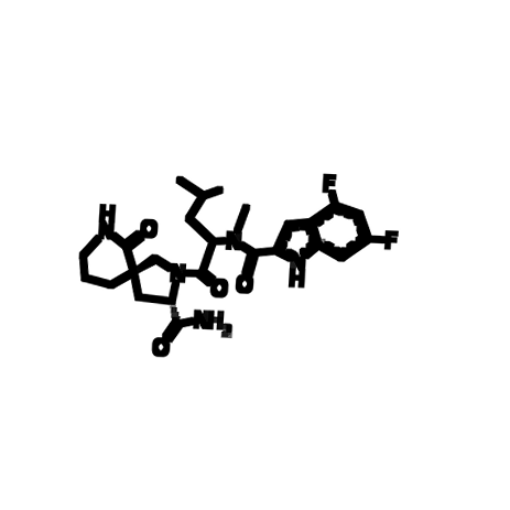 CC(C)CC(C(=O)N1C[C@]2(CCCNC2=O)C[C@H]1C(N)=O)N(C)C(=O)c1cc2c(F)cc(F)cc2[nH]1